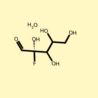 O.O=C[C@](O)(F)C(O)C(O)CO